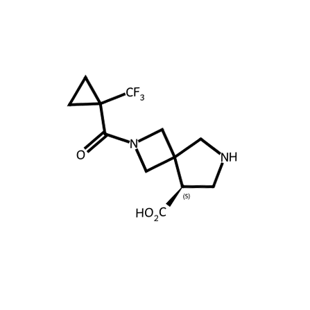 O=C(O)[C@@H]1CNCC12CN(C(=O)C1(C(F)(F)F)CC1)C2